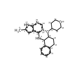 Cc1cc2c(NC3c4ccccc4CCC3OC3CCOCC3)ncnc2[nH]1